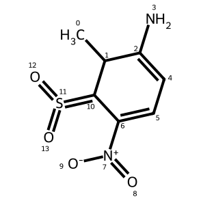 CC1C(N)=CC=C([N+](=O)[O-])C1=S(=O)=O